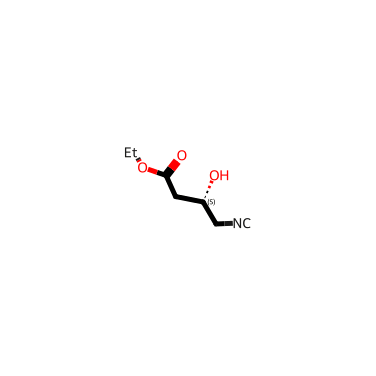 [C-]#[N+]C[C@@H](O)CC(=O)OCC